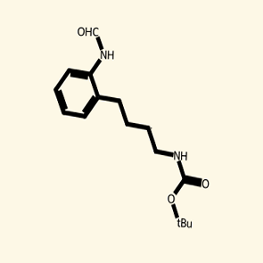 CC(C)(C)OC(=O)NC[CH]CCc1ccccc1NC=O